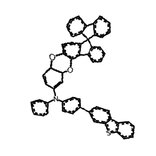 C1=CC2Oc3ccc4c(c3OC2C=C1N(c1ccccc1)c1ccc(-c2ccc3c(c2)sc2ccccc23)cc1)-c1ccccc1C41c2ccccc2-c2ccccc21